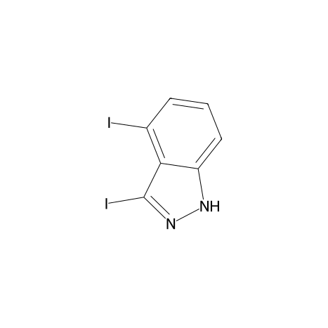 Ic1cccc2[nH]nc(I)c12